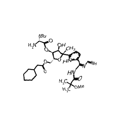 COC(C)(C)C(=O)N/C(=N/C=N)c1ccc([C@]2(C)O[C@H](COC(=O)CC3CCCCC3)[C@@H](OC(=O)[C@H](N)C(C)(C)C)[C@H]2O)[nH]1